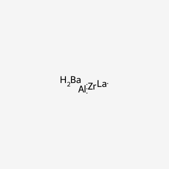 [Al].[BaH2].[La].[Zr]